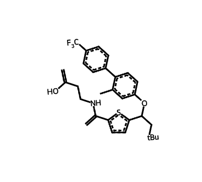 C=C(O)CCNC(=C)c1ccc(C(CC(C)(C)C)Oc2ccc(-c3ccc(C(F)(F)F)cc3)c(C)c2)s1